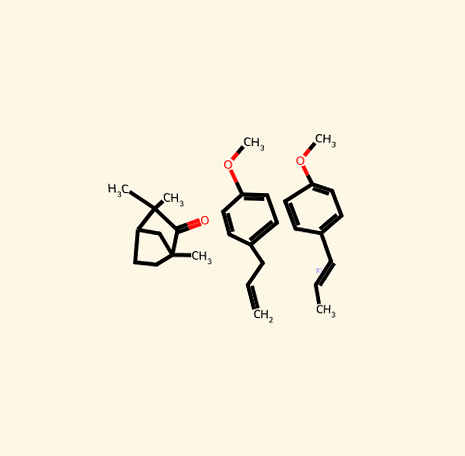 C/C=C/c1ccc(OC)cc1.C=CCc1ccc(OC)cc1.CC12CCC(C1)C(C)(C)C2=O